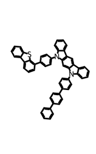 c1ccc(-c2ccc(-c3ccc(-n4c5ccccc5c5cc6c7ccccc7n(-c7ccc(-c8cccc9c8sc8ccccc89)cc7)c6cc54)cc3)cc2)cc1